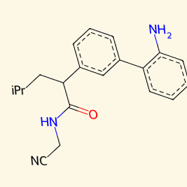 CC(C)CC(C(=O)NCC#N)c1cccc(-c2ccccc2N)c1